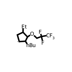 [CH2]CC1C[CH]C(CCCC)C1OCC(F)(F)C(F)(F)F